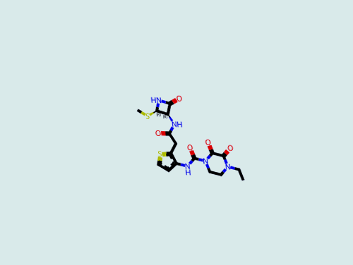 CCN1CCN(C(=O)Nc2ccsc2CC(=O)N[C@@H]2C(=O)N[C@@H]2SC)C(=O)C1=O